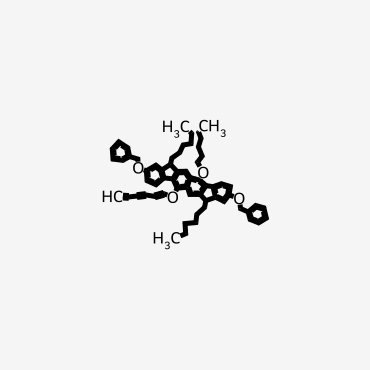 C#CC#CC#COc1c2c(cc3c(OCCCCCC)c4c(cc13)C(CCCCCC)c1cc(OCc3ccccc3)ccc1-4)C(CCCCCC)c1cc(OCc3ccccc3)ccc1-2